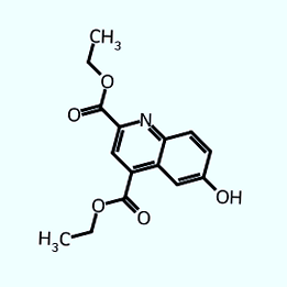 CCOC(=O)c1cc(C(=O)OCC)c2cc(O)ccc2n1